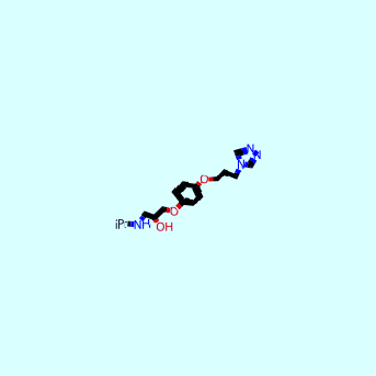 CC(C)NCC(O)COc1ccc(OCCCn2cnnc2)cc1